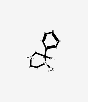 CCN1CCNCC1(F)c1ccccc1